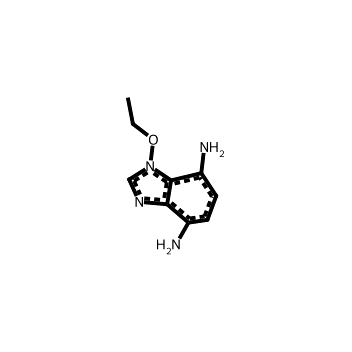 CCOn1cnc2c(N)ccc(N)c21